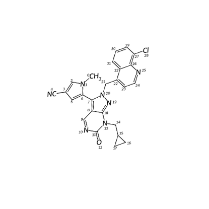 Cn1cc(C#N)cc1-c1c2cnc(=O)n(CC3CC3)c2nn1Cc1ccnc2c(Cl)cccc12